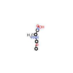 Cc1cc(C2CCN(C(=O)O)CC2)cc2nc(-c3ccc(OCc4ccccc4)cc3)[nH]c12